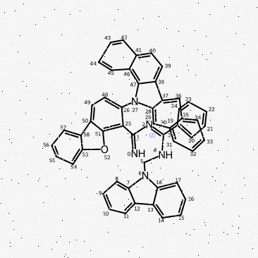 N=C(/N=C(\NCn1c2ccccc2c2ccccc21)c1ccccc1)c1c(-n2c3cc4ccccc4cc3c3ccc4ccccc4c32)ccc2c1oc1ccccc12